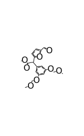 COCOc1cc(OCOC)cc(C(C(=O)OC)c2ccc(C=O)o2)c1